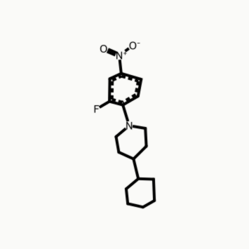 O=[N+]([O-])c1ccc(N2CCC(C3CCCCC3)CC2)c(F)c1